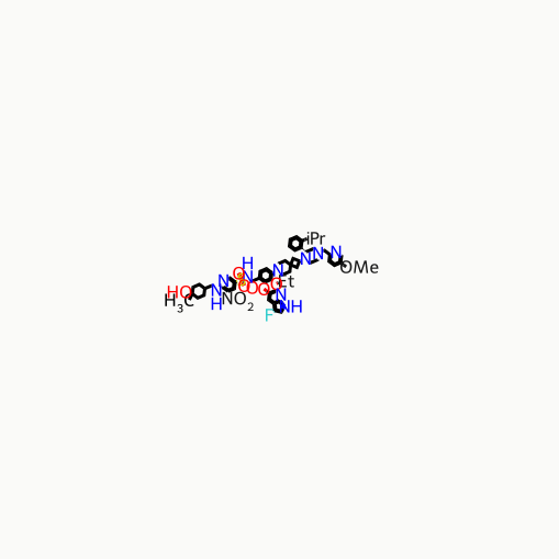 CCOc1nc2[nH]cc(F)c2cc1Oc1cc(N2CCC3(CC2)CC(N2CCN(Cc4ccc(OC)cn4)C[C@H]2c2ccccc2C(C)C)C3)ccc1C(=O)NS(=O)(=O)c1cnc(NCC2CCC(C)(O)CC2)c([N+](=O)[O-])c1